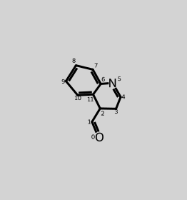 O=CC1CC=Nc2ccccc21